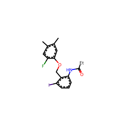 CCC(=O)Nc1cccc(I)c1COc1cc(C)c(C)cc1F